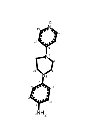 Nc1ccc(N2CCN(c3ccncc3)CC2)cc1